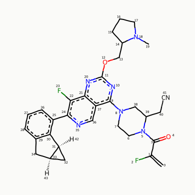 C=C(F)C(=O)N1CCN(c2nc(OCC3CCCN3C)nc3c(F)c(-c4cccc5c4[C@H]4C[C@H]4C5)ncc23)CC1CC#N